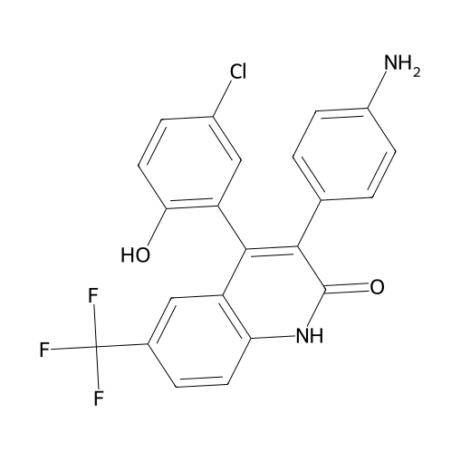 Nc1ccc(-c2c(-c3cc(Cl)ccc3O)c3cc(C(F)(F)F)ccc3[nH]c2=O)cc1